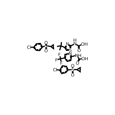 CC(C)(C)c1csc(NC(=O)O)n1.O=C(O)Nc1ccc(C(F)(F)F)cn1.O=S(=O)(c1ccc(Cl)cc1)C1CC1.O=S(=O)(c1ccc(Cl)cc1)C1CC1